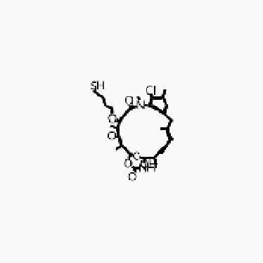 C/C1=C\C=C\C(C)C2(O)CC(OC(=O)N2)C(C)C2OC2(C)C(OCCCCS)CC(=O)N(C)c2cc(cc(C)c2Cl)C1